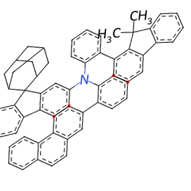 CC1(C)c2ccccc2-c2cccc(-c3ccccc3N(c3ccc4c(c3)C3(c5ccccc5-4)C4CC5CC(C4)CC3C5)c3ccccc3-c3ccc4c(ccc5ccccc54)c3)c21